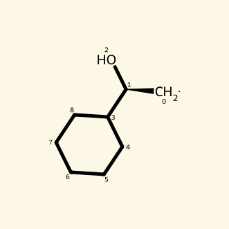 [CH2][C@H](O)C1CCCCC1